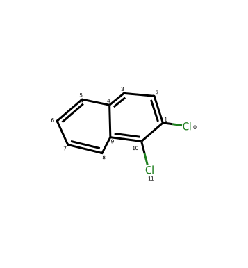 Clc1ccc2[c]cccc2c1Cl